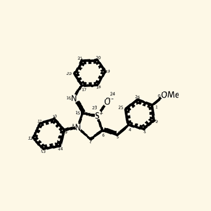 COc1ccc(C=C2CN(c3ccccc3)C(=Nc3ccccc3)[S+]2[O-])cc1